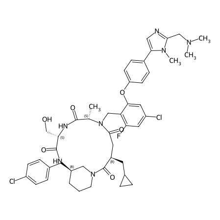 C[C@H]1C(=O)N[C@@H](CO)C(=O)N[C@@]2(Cc3ccc(Cl)cc3)CCCN(C2)C(=O)[C@H](CC2CC2)CC(=O)N1Cc1c(F)cc(Cl)cc1Oc1ccc(-c2cnc(CN(C)C)n2C)cc1